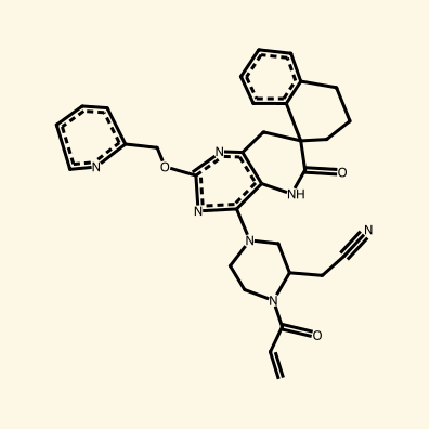 C=CC(=O)N1CCN(c2nc(OCc3ccccn3)nc3c2NC(=O)C2(CCCc4ccccc42)C3)CC1CC#N